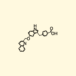 O=C(O)c1ccc(Cc2c[nH]c3ccc(OCc4ccc5ccccc5n4)cc23)cc1